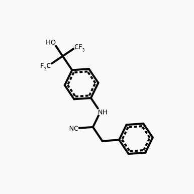 N#CC(Cc1ccccc1)Nc1ccc(C(O)(C(F)(F)F)C(F)(F)F)cc1